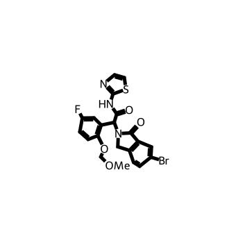 COCOc1ccc(F)cc1C(C(=O)Nc1nccs1)N1Cc2ccc(Br)cc2C1=O